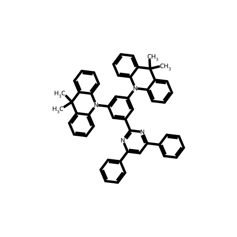 CC1(C)c2ccccc2N(c2cc(-c3nc(-c4ccccc4)cc(-c4ccccc4)n3)cc(N3c4ccccc4C(C)(C)c4ccccc43)c2)c2ccccc21